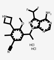 COc1c(C(C)n2nc(C(F)F)c3c(N)ncnc32)cc(C#N)c(C)c1C1CNC1.Cl.Cl